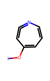 IOC1=CC=CN=C=C1